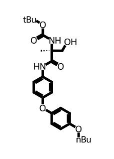 CCCCOc1ccc(Oc2ccc(NC(=O)[C@](C)(CO)NC(=O)OC(C)(C)C)cc2)cc1